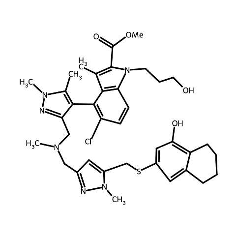 COC(=O)c1c(C)c2c(-c3c(CN(C)Cc4cc(CSc5cc(O)c6c(c5)CCCC6)n(C)n4)nn(C)c3C)c(Cl)ccc2n1CCCO